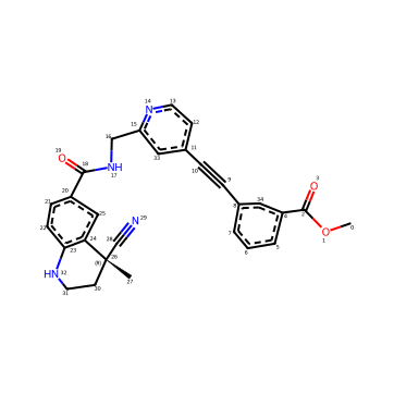 COC(=O)c1cccc(C#Cc2ccnc(CNC(=O)c3ccc4c(c3)[C@](C)(C#N)CCN4)c2)c1